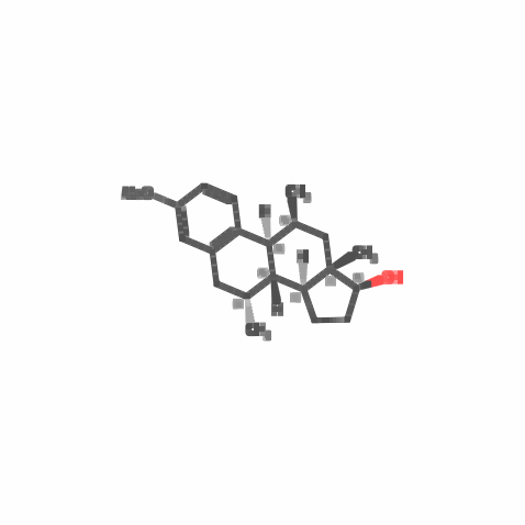 COc1ccc2c(c1)C[C@@H](C)[C@@H]1[C@@H]2[C@@H](C)C[C@]2(C)[C@@H](O)CC[C@@H]12